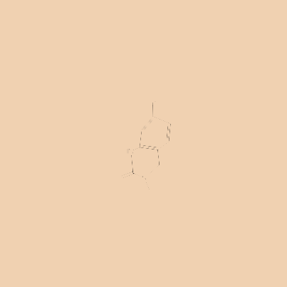 CN1Cc2ccc(Br)cc2NC1=O